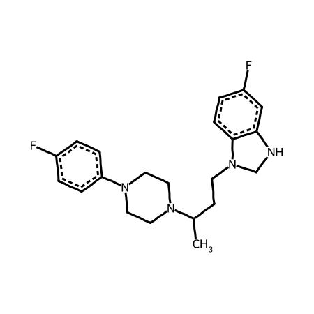 CC(CCN1CNc2cc(F)ccc21)N1CCN(c2ccc(F)cc2)CC1